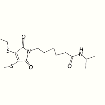 CCSC1=C(SC)C(=O)N(CCCCCC(=O)NC(C)C)C1=O